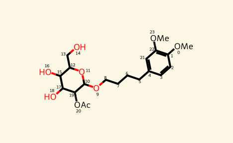 COc1ccc(CCCCOC2OC(CO)C(O)C(O)C2OC(C)=O)cc1OC